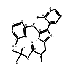 CN(Cc1nc(-c2cccnc2F)c(Sc2ccnc(Cl)c2)s1)C(=O)OC(C)(C)C